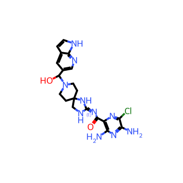 Nc1nc(N)c(C(=O)/N=C2\NCC3(CCN(C(O)c4cnc5[nH]ccc5c4)CC3)N2)nc1Cl